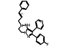 Fc1ccc(-c2nn3c(c2-c2ccncc2)NN(C/C=C/c2ccccc2)CC3)cc1